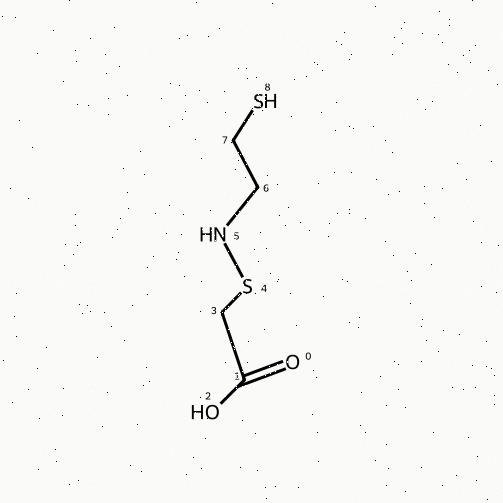 O=C(O)CSNCCS